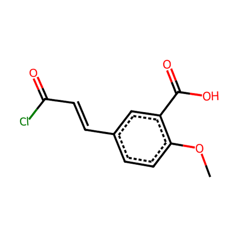 COc1ccc(/C=C/C(=O)Cl)cc1C(=O)O